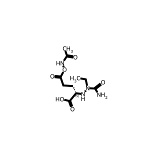 CCN(N[C@@H](CCC(=O)ONC(C)=O)C(=O)O)C(N)=O